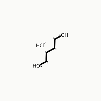 Cl.OCCCCO